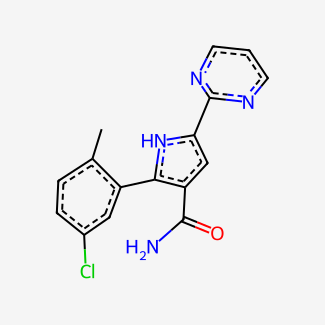 Cc1ccc(Cl)cc1-c1[nH]c(-c2ncccn2)cc1C(N)=O